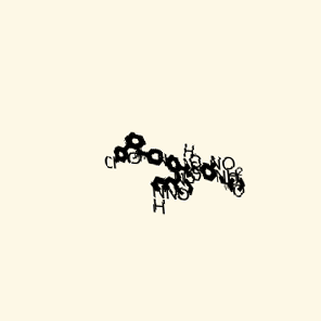 O=C(NS(=O)(=O)c1ccc(NC[C@@H]2COCCO2)c([N+](=O)[O-])c1)c1ccc(N2CCC([C@@H](O)c3ccccc3-c3ccc(Cl)cc3)CC2)cc1N1CCCOc2nc3[nH]ccc3cc21